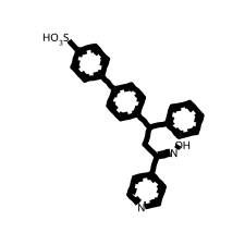 O=S(=O)(O)c1ccc(-c2ccc(C(C/C(=N\O)c3ccncc3)c3ccccc3)cc2)cc1